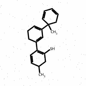 CC1C=CC(C2=CC(C3(C)C=CC=CC3)=CCC2)=C(S)C1